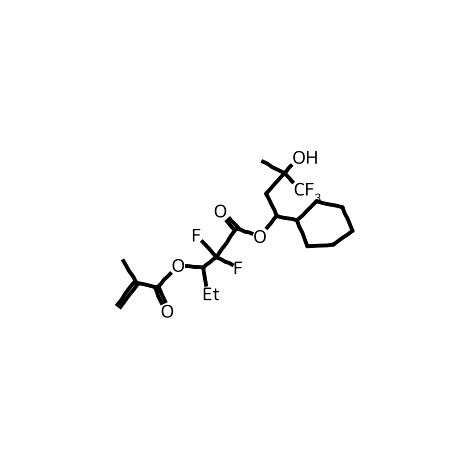 C=C(C)C(=O)OC(CC)C(F)(F)C(=O)OC(CC(C)(O)C(F)(F)F)C1CCCCC1